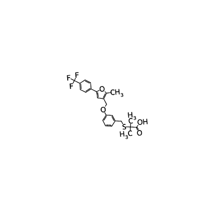 Cc1oc(-c2ccc(C(F)(F)F)cc2)cc1COc1cccc(CSC(C)(C)C(=O)O)c1